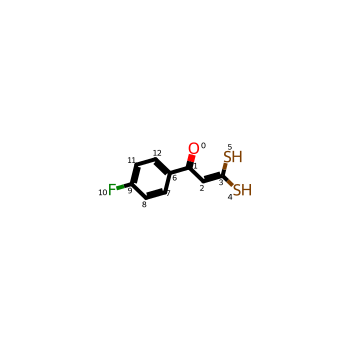 O=C(C=C(S)S)c1ccc(F)cc1